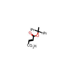 CCCC(C)(OC(=O)/C=C/C(=O)O)C(C)C